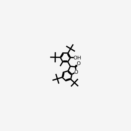 Cc1c(C(C)(C)C)cc(C(C)(C)C)c(O)c1C1C(=O)Oc2c1cc(C(C)(C)C)cc2C(C)(C)C